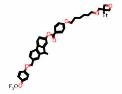 CCC1(COCCCCCCOc2ccc(C(=O)Oc3ccc4c(c3)C(C)c3cc(COc5ccc(OC(F)(F)F)cc5)ccc3-4)cc2)COC1